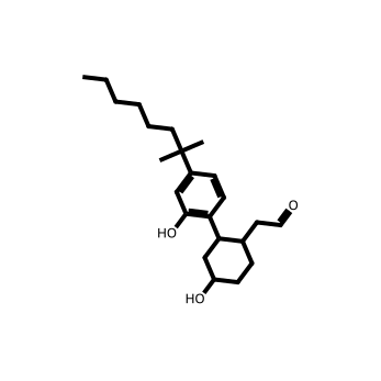 CCCCCCC(C)(C)c1ccc(C2CC(O)CCC2CC=O)c(O)c1